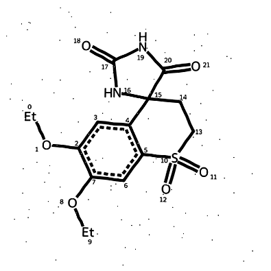 CCOc1cc2c(cc1OCC)S(=O)(=O)CCC21NC(=O)NC1=O